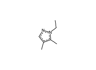 CCn1ncc(C)c1C